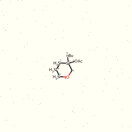 CCCC[Si]1(OC(C)=O)CO[SiH2][SiH2][SiH2]1